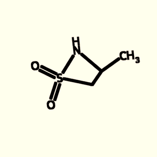 CC1CS(=O)(=O)N1